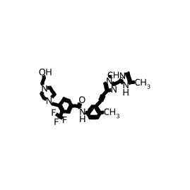 Cc1cnc(-c2nc(C#Cc3cc(NC(=O)c4ccc(CN5CCN(CCO)CC5)c(C(F)(F)F)c4)ccc3C)cn2C)[nH]1